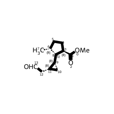 COC(=O)[C@@H]1CC[C@@H](C)[C@H]1[C@@H]1C[C@@H]1CC=O